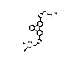 C#CCCN(Cc1ncc(-c2ccc3c4ccc(-c5cnc(CN(CCC)C(=O)[C@@H](NC(=O)OC)C(C)C)[nH]5)cc4c4ccccc4c3c2)[nH]1)C(=O)[C@@H](NC(=O)OC)C(C)C